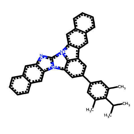 Cc1cc(-c2cc3c4cc5ccccc5cc4n4c3c(c2)n2c3cc5ccccc5cc3nc24)cc(C)c1C(C)C